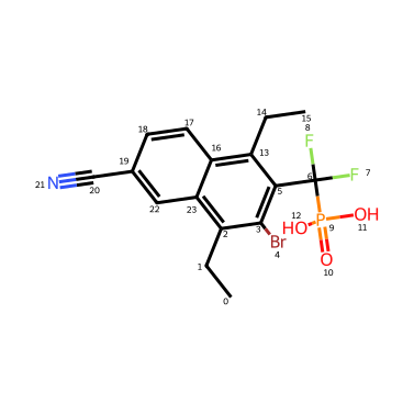 CCc1c(Br)c(C(F)(F)P(=O)(O)O)c(CC)c2ccc(C#N)cc12